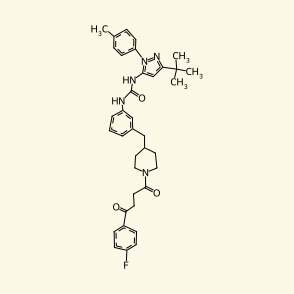 Cc1ccc(-n2nc(C(C)(C)C)cc2NC(=O)Nc2cccc(CC3CCN(C(=O)CCC(=O)c4ccc(F)cc4)CC3)c2)cc1